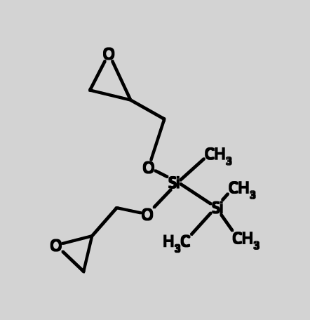 C[Si](C)(C)[Si](C)(OCC1CO1)OCC1CO1